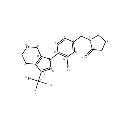 O=C1CCCN1Cc1ccc(-n2nc(C(F)(F)F)c3c2COCC3)c(F)c1